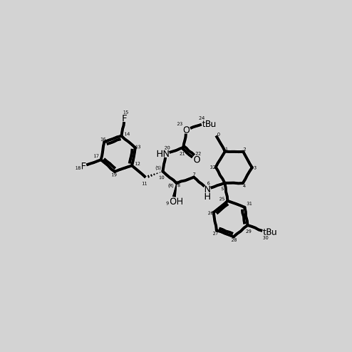 CC1CCCC(NC[C@@H](O)[C@H](Cc2cc(F)cc(F)c2)NC(=O)OC(C)(C)C)(c2cccc(C(C)(C)C)c2)C1